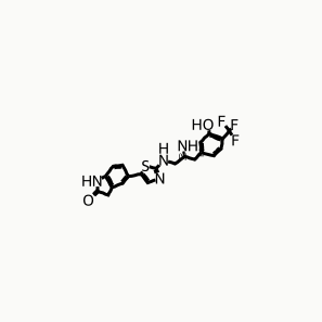 N[C@H](CNc1ncc(-c2ccc3c(c2)CC(=O)N3)s1)Cc1ccc(C(F)(F)F)c(O)c1